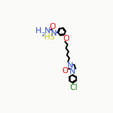 NC(=O)N(S)c1cccc(OCCCCCCCN2CCN(c3ccc(Cl)cc3)C2=O)c1